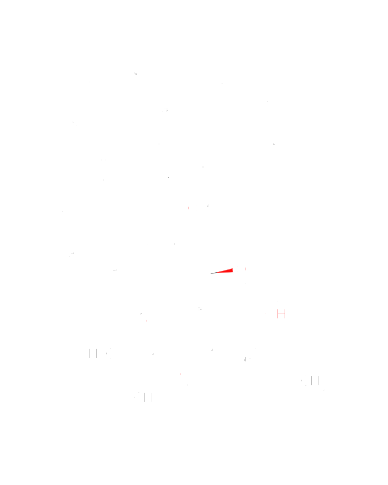 C=C[C@@H](O)[C@@H]1OC(C)(C)O[C@@H]1[C@H](O)COC(c1ccccc1)(c1ccccc1)c1ccccc1